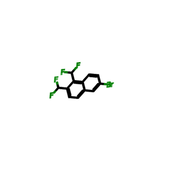 FC(F)c1ccc2cc(Br)ccc2c1C(F)F